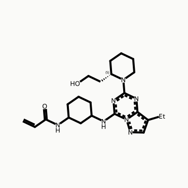 C=CC(=O)NC1CCCC(Nc2nc(N3CCCC[C@H]3CCO)nc3c(CC)cnn23)C1